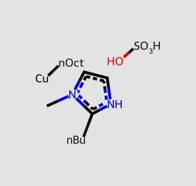 CCCCCCC[CH2][Cu].CCCCc1[nH]cc[n+]1C.O=S(=O)(O)O